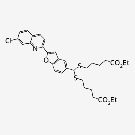 CCOC(=O)CCCCSC(SCCCCC(=O)OCC)c1ccc2oc(-c3ccc4ccc(Cl)cc4n3)cc2c1